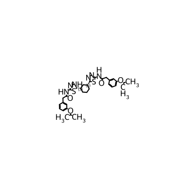 CC(C)Oc1cccc(CC(=O)NC2=NNC([C@H]3CCC[C@H](c4nnc(NC(=O)Cc5cccc(OC(C)C)c5)s4)C3)S2)c1